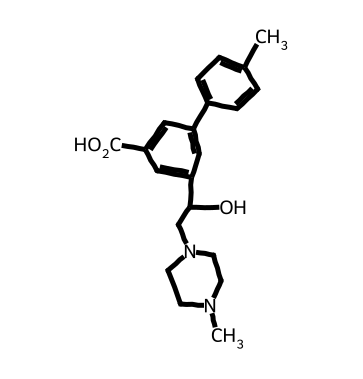 Cc1ccc(-c2cc(C(=O)O)cc(C(O)CN3CCN(C)CC3)c2)cc1